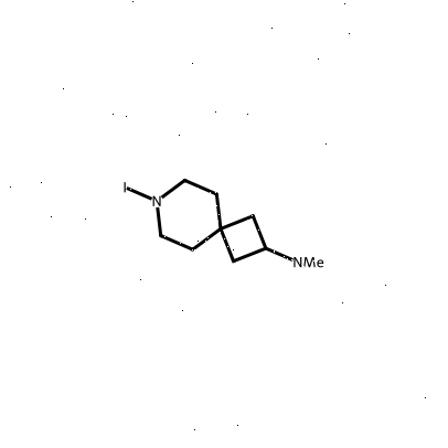 CNC1CC2(CCN(I)CC2)C1